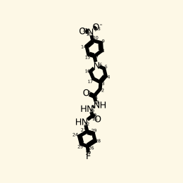 O=C(CC1=CCN(c2ccc([N+](=O)[O-])cc2)CC1)NNC(=O)Nc1ccc(F)cc1